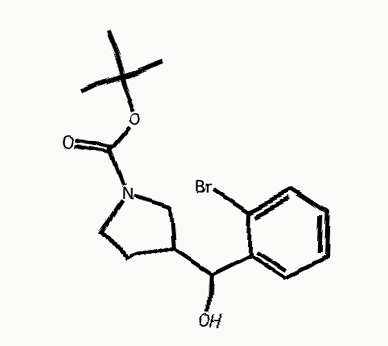 CC(C)(C)OC(=O)N1CCC(C(O)c2ccccc2Br)C1